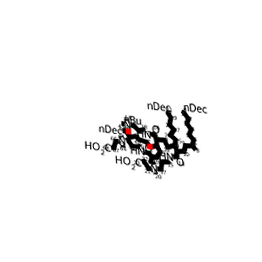 CCCCCCCCCCCCCCCCC(C)CCC(C(=O)NCCC[N+](C)(C)CCC(=O)O)C(CCCCCCCCCCCCCCCC)CCC(C(=O)NCCC[N+](C)(C)CCCC)C(CCCCCCCCCCCCCCCC)CCC(C)C(=O)NCCC[N+](C)(C)CCC(=O)O